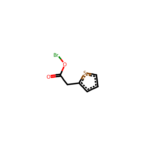 O=C(Cc1cccs1)OBr